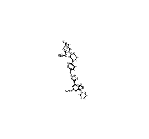 COc1cc(-c2cn(Cc3ccc(N4CCCC(N(CC56CC(C)(C5)C6)C(=O)OC(C)(C)C)C4)nn3)nn2)c2cnn(C3CCCCO3)c2c1